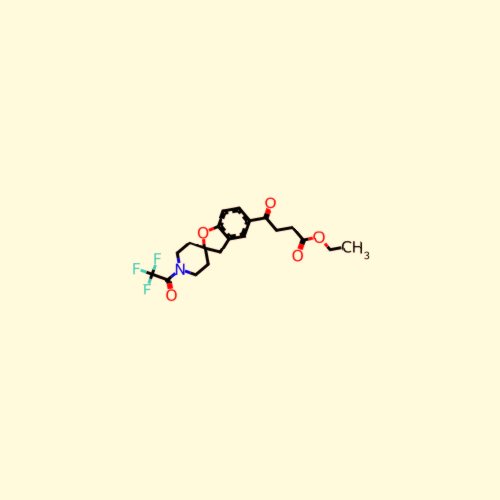 CCOC(=O)CCC(=O)c1ccc2c(c1)CC1(CCN(C(=O)C(F)(F)F)CC1)O2